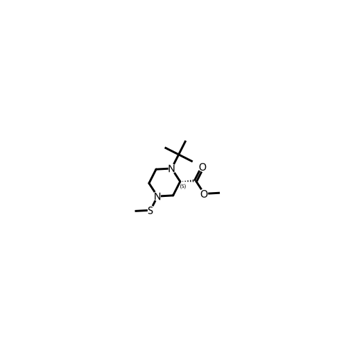 COC(=O)[C@@H]1CN(SC)CCN1C(C)(C)C